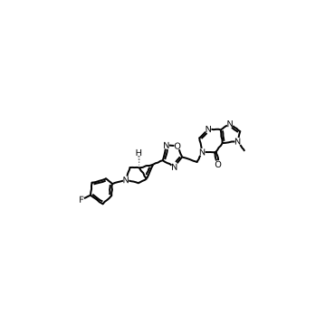 Cn1cnc2ncn(Cc3nc(C4=C5CN(c6ccc(F)cc6)C[C@H]54)no3)c(=O)c21